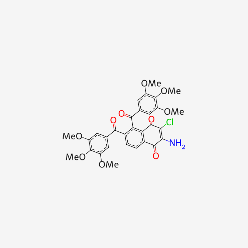 COc1cc(C(=O)c2ccc3c(c2C(=O)c2cc(OC)c(OC)c(OC)c2)C(=O)C(Cl)=C(N)C3=O)cc(OC)c1OC